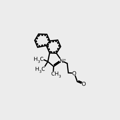 CC1=[N+](CCOC=O)c2ccc3ccccc3c2C1(C)C